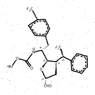 CC(C)(C)OC(=O)N[C@H](Cc1ccc(C(F)(F)F)cc1)[C@@H]1O[C@@H](C=O)C[C@@H]1[C@H](c1ccccc1)C(F)(F)F